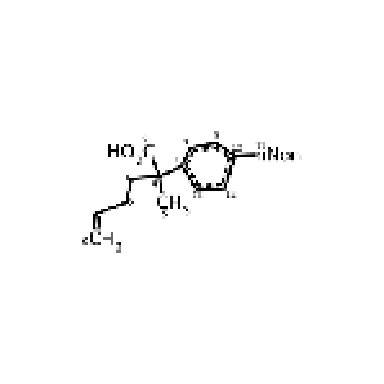 C=CCCC(C)(C(=O)O)c1ccc(CCCCCCCCC)cc1